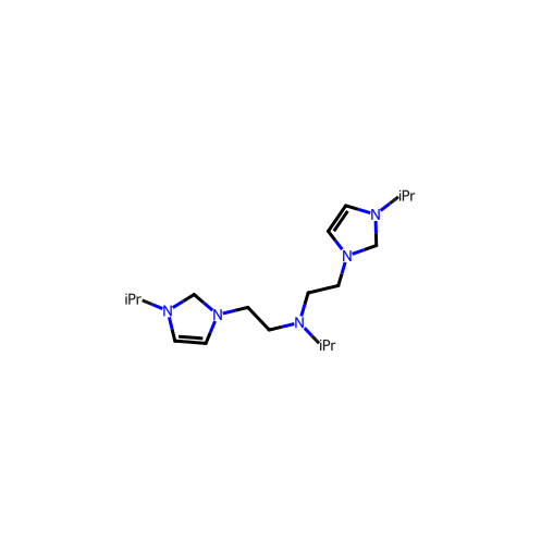 CC(C)N1C=CN(CCN(CCN2C=CN(C(C)C)C2)C(C)C)C1